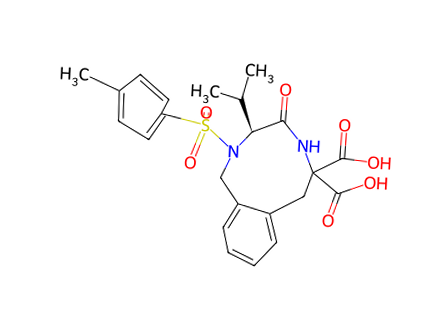 Cc1ccc(S(=O)(=O)N2Cc3ccccc3CC(C(=O)O)(C(=O)O)NC(=O)[C@@H]2C(C)C)cc1